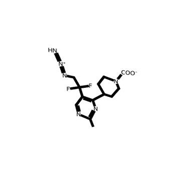 Cc1ncc(C(F)(F)CN=[N+]=N)c(C2CCN(C(=O)[O-])CC2)n1